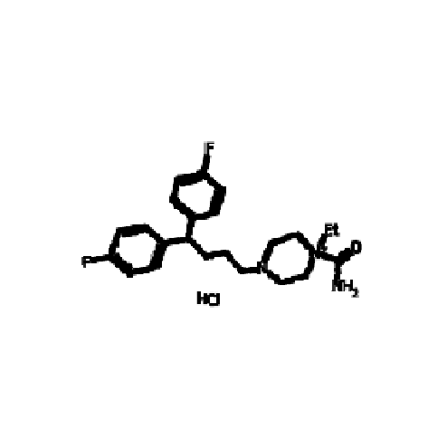 CC[N+]1(C(N)=O)CCN(CCCC(c2ccc(F)cc2)c2ccc(F)cc2)CC1.Cl